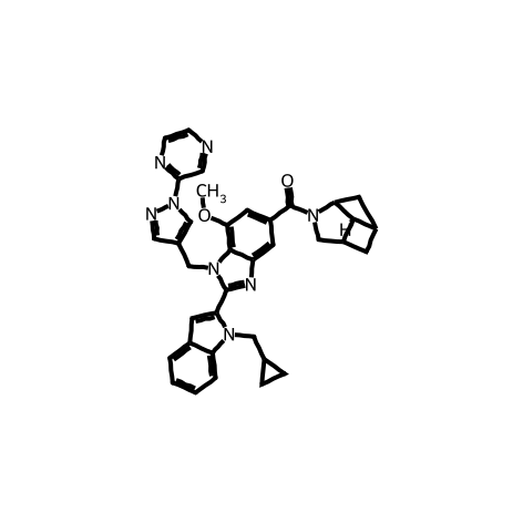 COc1cc(C(=O)N2CC3CC4CC2[C@H]43)cc2nc(-c3cc4ccccc4n3CC3CC3)n(Cc3cnn(-c4cnccn4)c3)c12